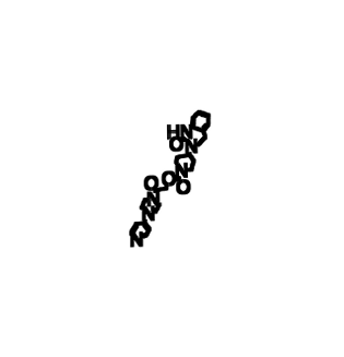 O=C(COC(=O)N1CCC(N2CCc3ccccc3NC2=O)CC1)N1CCN(c2ccncc2)CC1